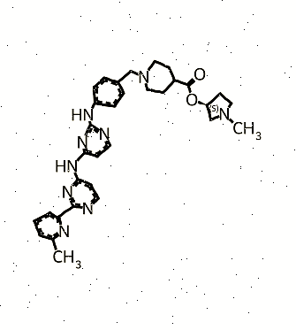 Cc1cccc(-c2nccc(Nc3ccnc(Nc4ccc(CN5CCC(C(=O)O[C@H]6CCN(C)C6)CC5)cc4)n3)n2)n1